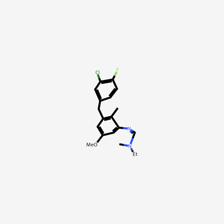 CCN(C)/C=N\c1cc(OC)cc(Cc2ccc(F)c(Cl)c2)c1C